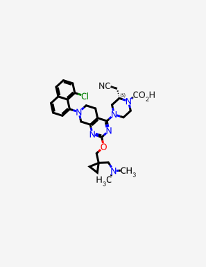 CN(C)CC1(COc2nc3c(c(N4CCN(C(=O)O)[C@@H](CC#N)C4)n2)CCN(c2cccc4cccc(Cl)c24)C3)CC1